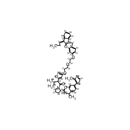 CC/C=C1\C(=O)N(Cc2ccc(OCCOCCOc3cc(C(C(=O)N4CCC[C@H]4C(=O)N[C@@H](C)c4ccc(-c5scnc5C)cc4)C(C)C)on3)cc2)c2ccccc21